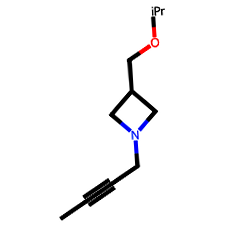 CC#CCN1CC(COC(C)C)C1